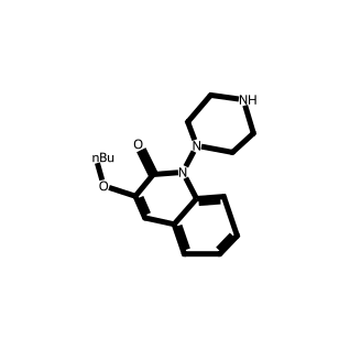 CCCCOc1cc2ccccc2n(N2CCNCC2)c1=O